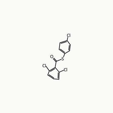 O=C(Sc1ccc(Cl)cc1)c1c(Cl)cccc1Cl